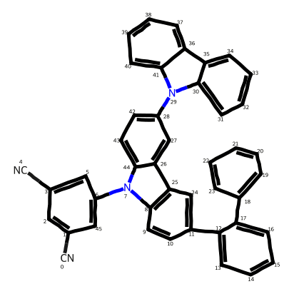 N#Cc1cc(C#N)cc(-n2c3ccc(-c4ccccc4-c4ccccc4)cc3c3cc(-n4c5ccccc5c5ccccc54)ccc32)c1